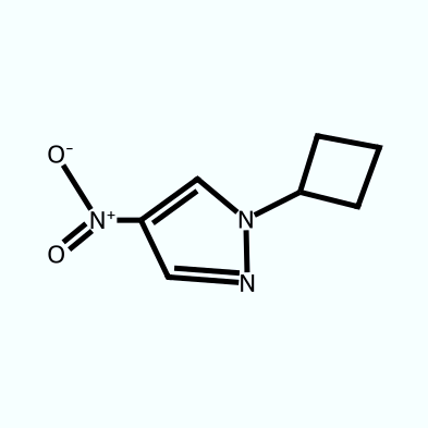 O=[N+]([O-])c1cnn(C2CCC2)c1